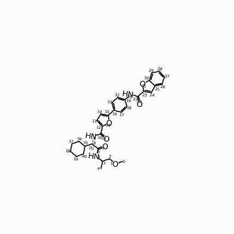 COCC(C)NC(=O)[C@@H](NC(=O)c1ccc(-c2ccc(NC(=O)c3cc4ccccc4o3)cc2)o1)C1CCCCC1